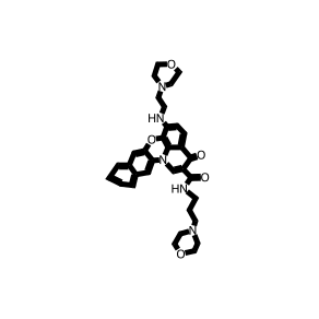 O=C(NCCCN1CCOCC1)c1cn2c3c(c(NCCN4CCOCC4)ccc3c1=O)Oc1cc3ccccc3cc1-2